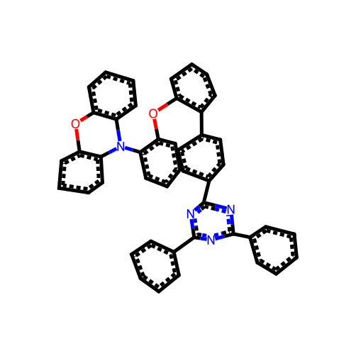 c1ccc(-c2nc(-c3ccccc3)nc(-c3ccc(-c4ccccc4Oc4ccccc4N4c5ccccc5Oc5ccccc54)cc3)n2)cc1